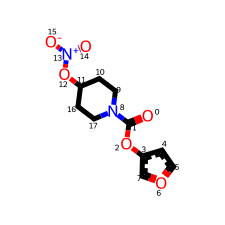 O=C(Oc1ccoc1)N1CCC(O[N+](=O)[O-])CC1